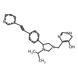 CC(C)N1CN(CC2=C(O)CNC=N2)CC1c1ccc(C#Cc2cccnc2)cc1